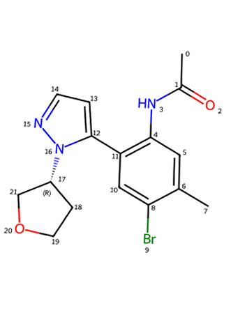 CC(=O)Nc1cc(C)c(Br)cc1-c1ccnn1[C@@H]1CCOC1